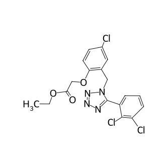 CCOC(=O)COc1ccc(Cl)cc1Cn1nnnc1-c1cccc(Cl)c1Cl